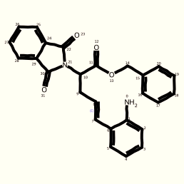 Nc1ccccc1/C=C/CC(C(=O)OCc1ccccc1)N1C(=O)c2ccccc2C1=O